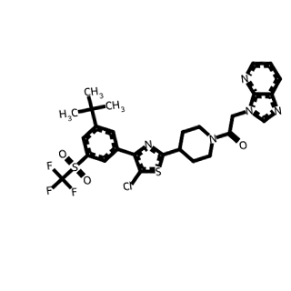 CC(C)(C)c1cc(-c2nc(C3CCN(C(=O)Cn4cnc5cccnc54)CC3)sc2Cl)cc(S(=O)(=O)C(F)(F)F)c1